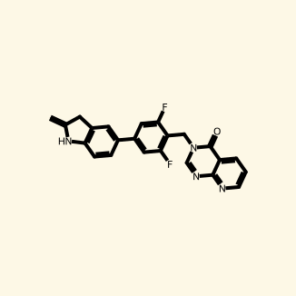 C=C1Cc2cc(-c3cc(F)c(Cn4cnc5ncccc5c4=O)c(F)c3)ccc2N1